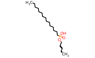 C=CC=CCOP(=O)(O)CCCCCCCCCCCCCCC